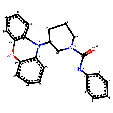 O=C(Nc1ccccc1)N1CCCC(N2c3ccccc3Oc3ccccc32)C1